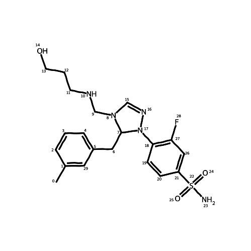 Cc1cccc(CC2N(CNCCCO)C=NN2c2ccc(S(N)(=O)=O)cc2F)c1